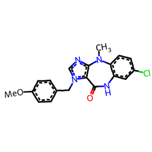 COc1ccc(Cn2cnc3c2C(=O)Nc2cc(Cl)ccc2N3C)cc1